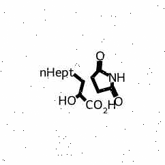 CCCCCCCCC(O)C(=O)O.O=C1CCC(=O)N1